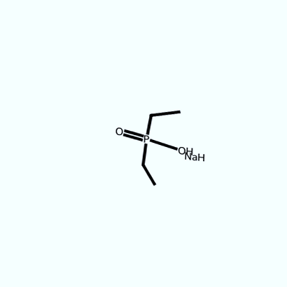 CCP(=O)(O)CC.[NaH]